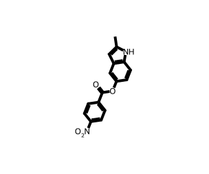 Cc1cc2cc(OC(=O)c3ccc([N+](=O)[O-])cc3)ccc2[nH]1